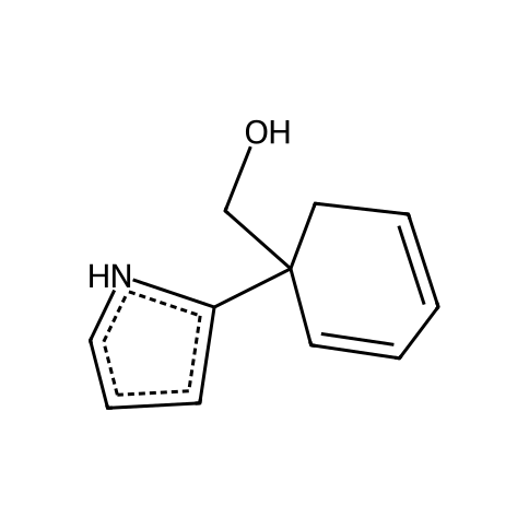 OCC1(c2ccc[nH]2)C=CC=CC1